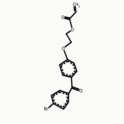 C=CC(=O)OCCOc1ccc(C(=O)c2ccc(Br)cc2)cc1